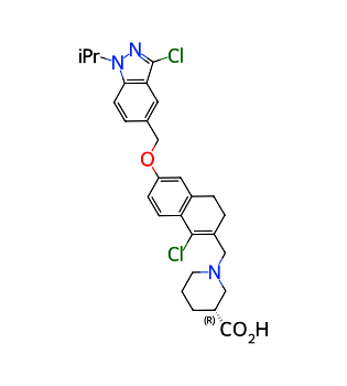 CC(C)n1nc(Cl)c2cc(COc3ccc4c(c3)CCC(CN3CCC[C@@H](C(=O)O)C3)=C4Cl)ccc21